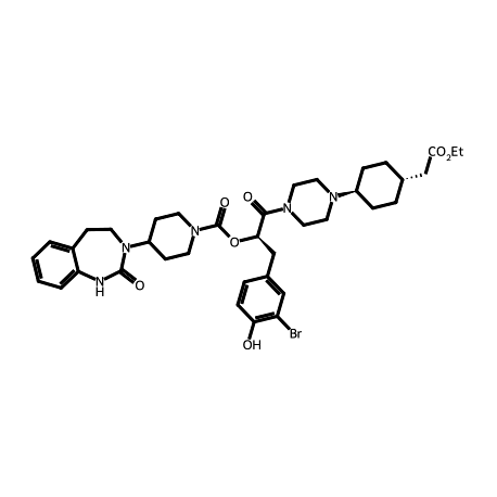 CCOC(=O)C[C@H]1CC[C@H](N2CCN(C(=O)[C@@H](Cc3ccc(O)c(Br)c3)OC(=O)N3CCC(N4CCc5ccccc5NC4=O)CC3)CC2)CC1